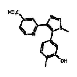 Cc1ccc(-c2c(-c3cc(C(=O)O)ccn3)ncn2C)cc1O